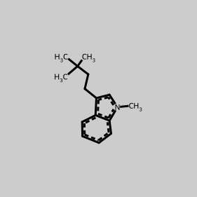 Cn1cc(CCC(C)(C)C)c2ccccc21